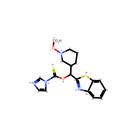 O=C(O)ON1CCCC(C(OC(=S)n2ccnc2)c2nc3ccccc3s2)C1